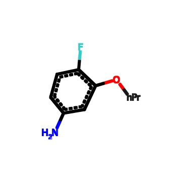 CCCOc1cc(N)ccc1F